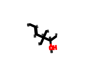 CC=CC(C)(C)C(C)O